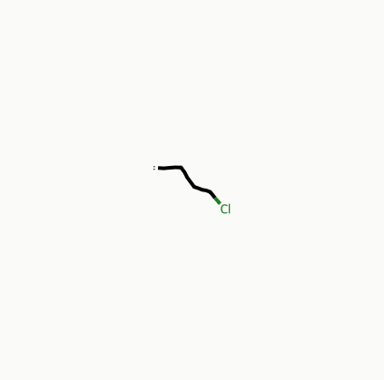 [CH]CCCCl